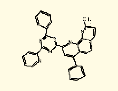 Cc1ccc2ccc3c(-c4ccccc4)cc(-c4nc(-c5ccccc5)nc(-c5ccccn5)n4)nc3c2n1